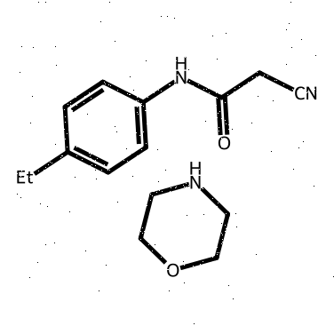 C1COCCN1.CCc1ccc(NC(=O)CC#N)cc1